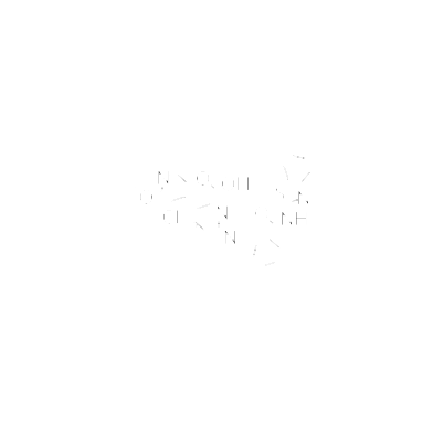 Cc1c(-c2ccc(N3CCc4cccc(C(=O)Nc5nc6ccccc6s5)c4C3)nc2C(=O)O)ccnc1OC1CCCCC1